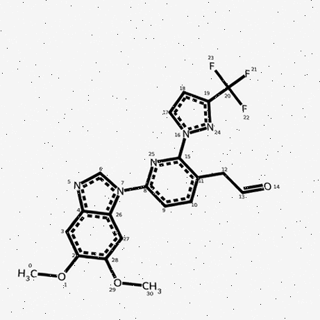 COc1cc2ncn(-c3ccc(CC=O)c(-n4ccc(C(F)(F)F)n4)n3)c2cc1OC